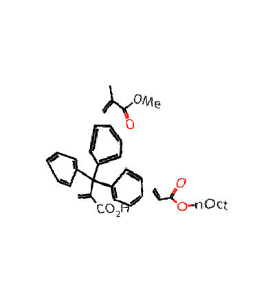 C=C(C(=O)O)C(c1ccccc1)(c1ccccc1)c1ccccc1.C=C(C)C(=O)OC.C=CC(=O)OCCCCCCCC